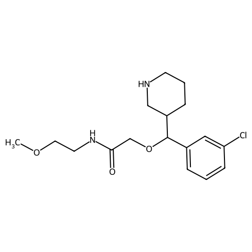 COCCNC(=O)COC(c1cccc(Cl)c1)C1CCCNC1